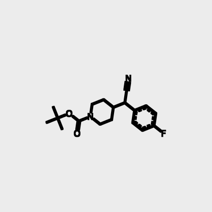 CC(C)(C)OC(=O)N1CCC(C(C#N)c2ccc(F)cc2)CC1